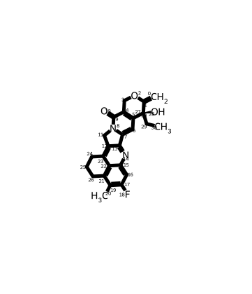 C=C1OCc2c(cc3n(c2=O)Cc2c-3nc3cc(F)c(C)c4c3c2CCC4)[C@@]1(O)CC